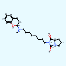 CN(CCCCCCCCN1C(=O)C2CCCN2C1=O)C1CCc2ccccc2O1